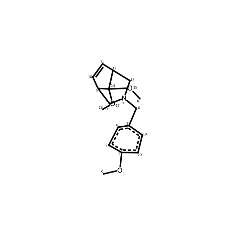 COc1ccc(CN2CC3C=CC(C2)C3(OC)OC)cc1